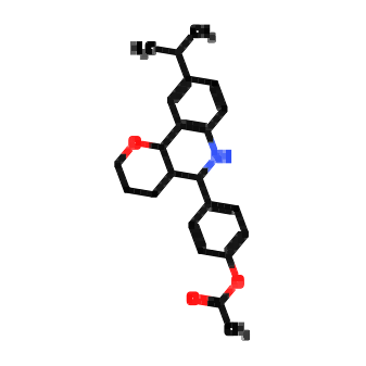 CC(=O)Oc1ccc(C2Nc3ccc(C(C)C)cc3C3OCCCC23)cc1